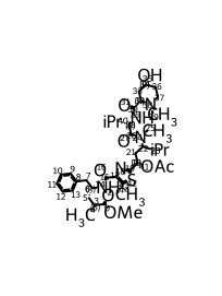 COC(=O)[C@@H](C)C[C@H](Cc1ccccc1)NC(=O)c1nc([C@@H](CC(C(C)C)N(C)C(=O)[C@@H](NC(=O)[C@H]2C[C@H](O)CCN2C)C(C)C)OC(C)=O)sc1C